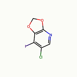 Clc1cnc2c(c1I)OCO2